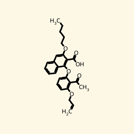 C=CCOc1cccc(Oc2c(C(=O)O)c(OCCCCC)cc3ccccc23)c1C(C)=O